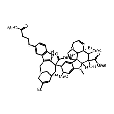 CCC1=C[C@H]2CN(C1)Cc1c([nH]c3ccc(SCCC(=O)OC)cc13)[C@@](C(=O)OC)(C1C=C3C(=CC1OC)N(C)[C@H]1[C@@](O)(C(=O)OC)[C@H](OC(C)=O)[C@]4(CC)C=CCN5CC[C@]31[C@@H]54)C2